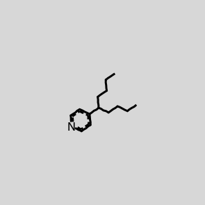 CCCCC(CCCC)c1ccncc1